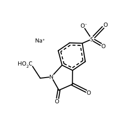 O=C(O)CN1C(=O)C(=O)c2cc(S(=O)(=O)[O-])ccc21.[Na+]